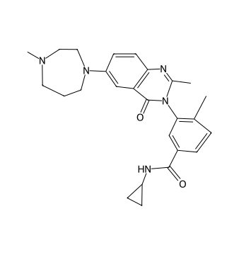 Cc1ccc(C(=O)NC2CC2)cc1-n1c(C)nc2ccc(N3CCCN(C)CC3)cc2c1=O